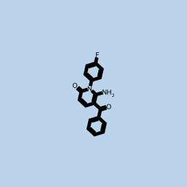 Nc1c(C(=O)c2ccccc2)ccc(=O)n1-c1ccc(F)cc1